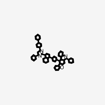 c1ccc(-c2ccc(-c3cc(-c4ccccc4)nc(-c4ccc(-c5ccc(-c6c7c(cc8c(-c9ccccc9)nc9ccccc9c68)oc6ccccc67)cc5)c5ccccc45)n3)cc2)cc1